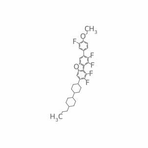 CCCC1CCC(C2CCC(c3cc4oc5cc(-c6ccc(OCC)c(F)c6)c(F)c(F)c5c4c(F)c3F)CC2)CC1